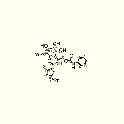 CCC[C@@H]1C[C@@H](C(=O)N[C@H](COC(=O)Nc2ccccc2)[C@H]2OC(SC)[C@H](O)C(O)C2O)N(C)C1